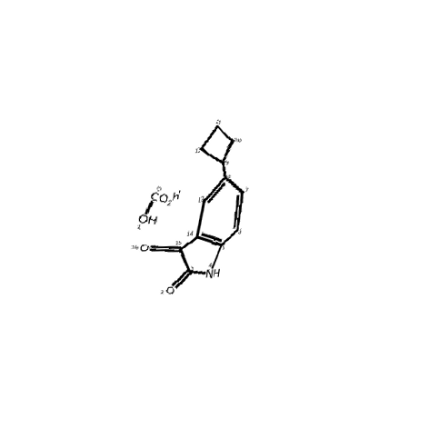 O=C(O)O.O=C1Nc2ccc(C3CCC3)cc2C1=O